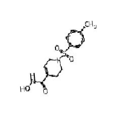 Cc1ccc(S(=O)(=O)N2CC=C(C(=O)NO)CC2)cc1